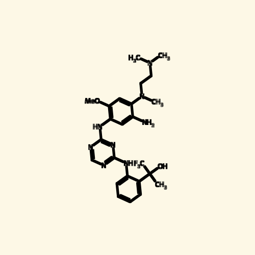 COc1cc(N(C)CCN(C)C)c(N)cc1Nc1ncnc(Nc2ccccc2C(C)(O)C(F)(F)F)n1